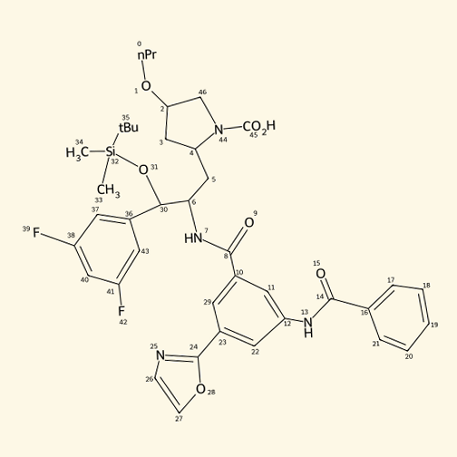 CCCOC1CC(CC(NC(=O)c2cc(NC(=O)c3ccccc3)cc(-c3ncco3)c2)C(O[Si](C)(C)C(C)(C)C)c2cc(F)cc(F)c2)N(C(=O)O)C1